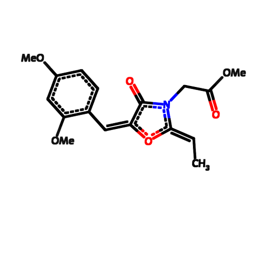 CC=c1o/c(=C/c2ccc(OC)cc2OC)c(=O)n1CC(=O)OC